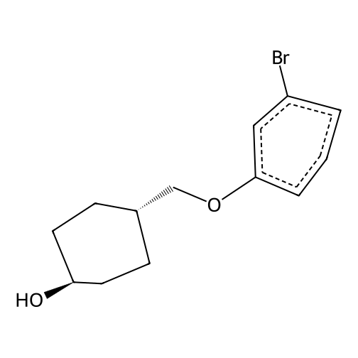 O[C@H]1CC[C@H](COc2cccc(Br)c2)CC1